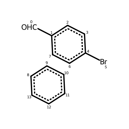 O=Cc1ccc(Br)cc1.c1ccccc1